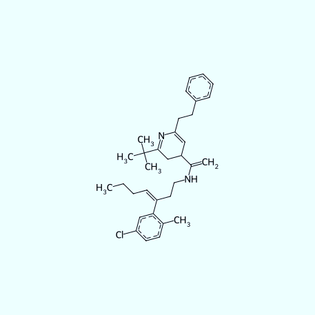 C=C(NCC/C(=C/CCC)c1cc(Cl)ccc1C)C1C=C(CCc2ccccc2)N=C(C(C)(C)C)C1